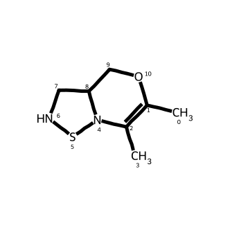 CC1=C(C)N2SNCC2CO1